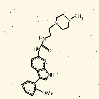 COc1ccccc1-c1c[nH]c2nc(NC(=O)NCCN3CCN(C)CC3)ccc12